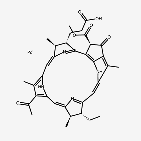 CC[C@H]1c2cc3[nH]c4c(c3C)C(=O)[C@H](C(=O)OC)c4c3nc(cc4[nH]c(cc(n2)[C@@H]1C)c(C(C)=O)c4C)[C@@H](C)[C@@H]3CCC(=O)O.[Pd]